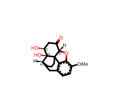 COc1ccc2c3c1O[C@H]1C(=O)C[C@H](O)[C@@]4(O)[C@H](CCCC314)C2